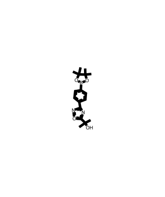 CC(C)(O)c1nc(-c2ccc(B3OC(C)(C)C(C)(C)O3)cc2)no1